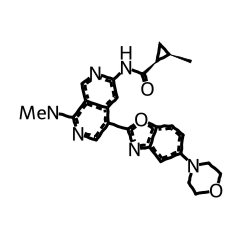 CNc1ncc(-c2nc3cc(N4CCOCC4)ccc3o2)c2cc(NC(=O)[C@H]3C[C@H]3C)ncc12